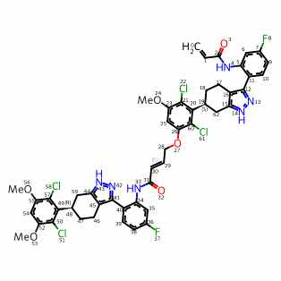 C=CC(=O)Nc1cc(F)ccc1-c1n[nH]c2c1CC[C@H](c1c(Cl)c(OC)cc(OC/C=C/C(=O)Nc3cc(F)ccc3-c3n[nH]c4c3CC[C@@H](c3c(Cl)c(OC)cc(OC)c3Cl)C4)c1Cl)C2